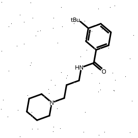 CC(C)(C)c1cccc(C(=O)NCCCN2CCCCC2)c1